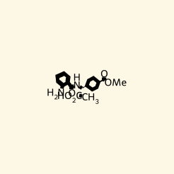 CC(=O)O.COC(=O)[C@H]1CC[C@H](CNC(=O)c2ccccc2N)CC1